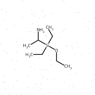 CCO[Si](CC)(CC)C(C)N